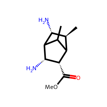 COC(=O)[C@H]1C2C(C)C([C@H]1N)[C@H](N)[C@H]2C